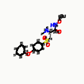 CN(C)[C@@H](CS(=O)(=O)c1ccc(Oc2ccccc2)cc1)C(=O)NOC(C)(C)C